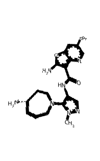 CCCc1cnc2c(C(=O)Nc3cnn(C)c3N3CCC[C@H](N)CC3)c(N)oc2c1